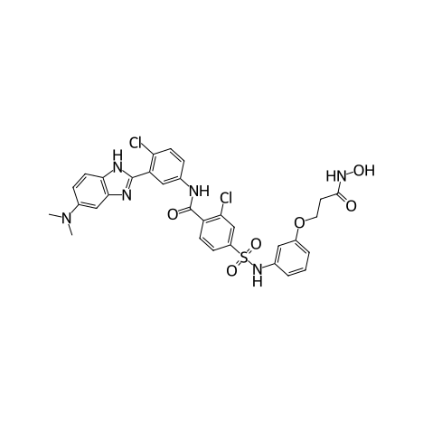 CN(C)c1ccc2[nH]c(-c3cc(NC(=O)c4ccc(S(=O)(=O)Nc5cccc(OCCC(=O)NO)c5)cc4Cl)ccc3Cl)nc2c1